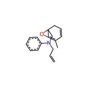 C=CCN(CC12CC=CC(C)=C1O2)c1ccccc1